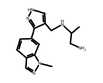 CC(CN)NCc1c[nH]nc1-c1ccc2cnn(C)c2c1